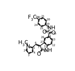 Cn1cccc1C=C1C(=O)Nc2ccc(S(=O)(=O)Nc3ccc(C(F)(F)F)cc3)cc21